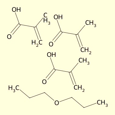 C=C(C)C(=O)O.C=C(C)C(=O)O.C=C(C)C(=O)O.CCCOCCC